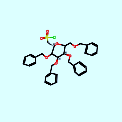 O=S(=O)(Cl)C[C@@H]1OC(COCc2ccccc2)[C@@H](OCc2ccccc2)[C@@H](OCc2ccccc2)C1OCc1ccccc1